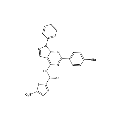 CC(C)(C)c1ccc(-c2nc(NC(=O)c3ccc([N+](=O)[O-])s3)c3cnn(-c4ccccc4)c3n2)cc1